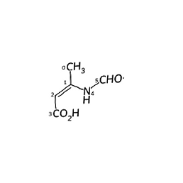 CC(=CC(=O)O)N[C]=O